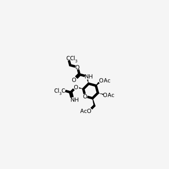 CC(=O)OC[C@H]1O[C@H](OC(=N)C(Cl)(Cl)Cl)[C@H](NC(=O)OCC(Cl)(Cl)Cl)[C@@H](OC(C)=O)[C@@H]1OC(C)=O